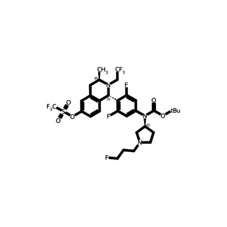 C[C@@H]1Cc2cc(OS(=O)(=O)C(F)(F)F)ccc2[C@@H](c2c(F)cc(N(C(=O)OC(C)(C)C)[C@H]3CCN(CCCF)C3)cc2F)N1CC(F)(F)F